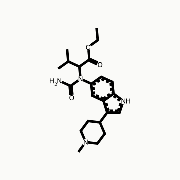 CCOC(=O)C(C(C)C)N(C(N)=O)c1ccc2[nH]cc(C3CCN(C)CC3)c2c1